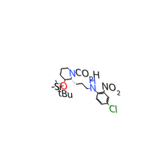 CC(C)(C)[Si](C)(C)O[C@H]1CCCN(C(=O)O)[C@@H]1CCCNc1ccc(Cl)cc1[N+](=O)[O-]